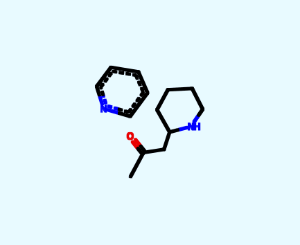 CC(=O)CC1CCCCN1.c1ccncc1